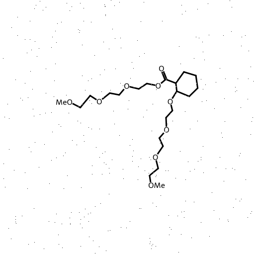 COCCOCCOCCOC(=O)C1CCCCC1OCCOCCOCCOC